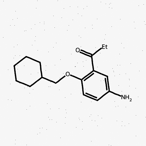 CCC(=O)c1cc(N)ccc1OCC1CCCCC1